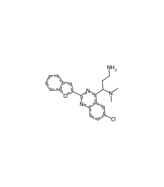 CN(C)C(CCN)c1nc(-c2cc3ccccc3o2)nc2ccc(Cl)cc12